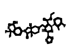 CCOC(=O)C1=C(CN2CC[C@]3(F)C(=O)N(c4ccc(C(F)(F)F)c(C(=O)O)c4)C[C@@H]3C2)NC(c2nccs2)=N[C@H]1c1cccc(F)c1C